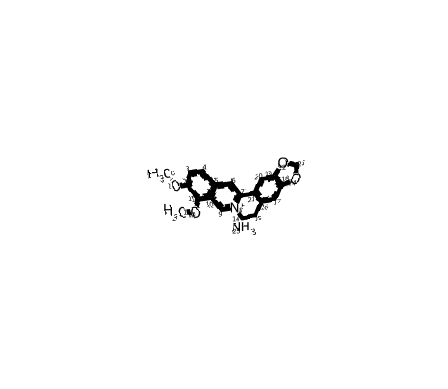 COc1ccc2cc3[n+](cc2c1OC)CCc1cc2c(cc1-3)OCO2.N